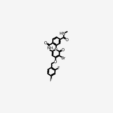 CNC(=O)c1ccc(C(N)=O)c(-n2c(C)cc(OCc3ccc(F)cc3F)c(Br)c2=O)c1